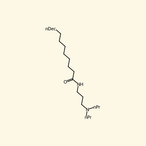 CCCCCCCCCCCCCCCCCC(=O)NCCCN(CCC)CCC